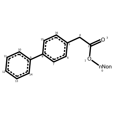 CCCCCCCCCOC(=O)Cc1ccc(-c2ccccc2)cc1